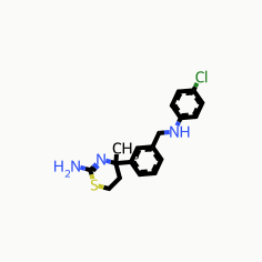 CC1(c2cccc(CNc3ccc(Cl)cc3)c2)CCSC(N)=N1